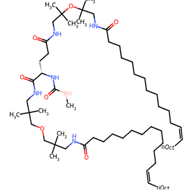 CBC(=O)N[C@@H](CCC(=O)NCC(C)(C)OC(C)(C)CNC(=O)CCCCCCCCCCC/C=C\CCCCCCCC)C(=O)NCC(C)(C)COCC(C)(C)CNC(=O)CCCCCCCCCCC/C=C\CCCCCCCC